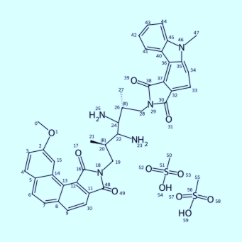 COc1ccc2ccc3ccc4c(c3c2c1)C(=O)N(C[C@@H](C)C(N)C(N)[C@H](C)CN1C(=O)c2ccc3c(c2C1=O)c1ccccc1n3C)C4=O.CS(=O)(=O)O.CS(=O)(=O)O